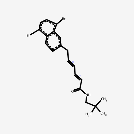 CC(C)(C)CNC(=O)/C=C/C=C/Cc1ccc2c(Br)ccc(Br)c2c1